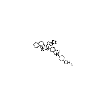 CCOc1cc2nn(C3CCC(C)CC3)cc2cc1NC(=O)c1ccc2ccccc2[n+]1O